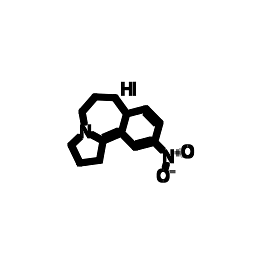 I.O=[N+]([O-])C1=CC2=C3CCCN3CCCC2C=C1